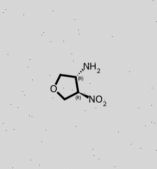 N[C@H]1COC[C@@H]1[N+](=O)[O-]